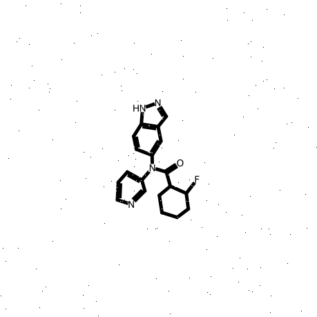 O=C(C1CCCCC1F)N(c1cccnc1)c1ccc2[nH]ncc2c1